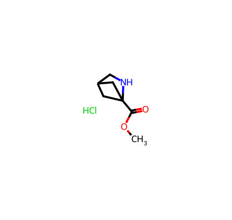 COC(=O)C12CC(CN1)C2.Cl